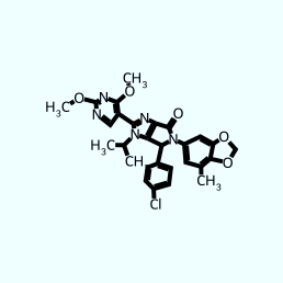 COc1ncc(-c2nc3c(n2C(C)C)C(c2ccc(Cl)cc2)N(c2cc(C)c4c(c2)OCO4)C3=O)c(OC)n1